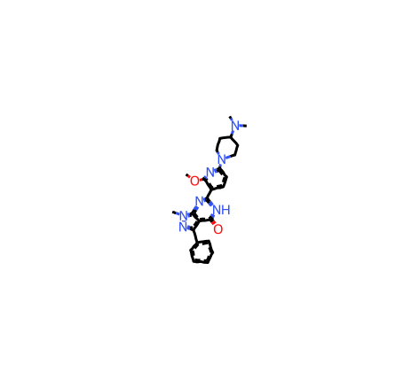 COc1nc(N2CCC(N(C)C)CC2)ccc1-c1nc2c(c(-c3ccccc3)nn2C)c(=O)[nH]1